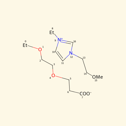 CCOCCOCCC(=O)[O-].CC[n+]1ccn(CCOC)c1